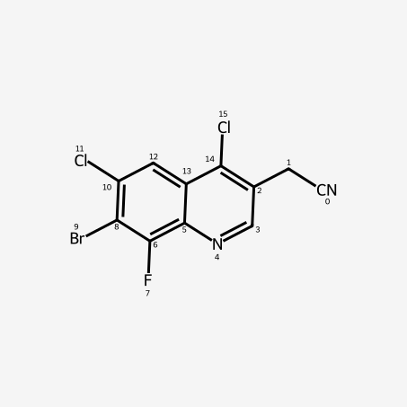 N#CCc1cnc2c(F)c(Br)c(Cl)cc2c1Cl